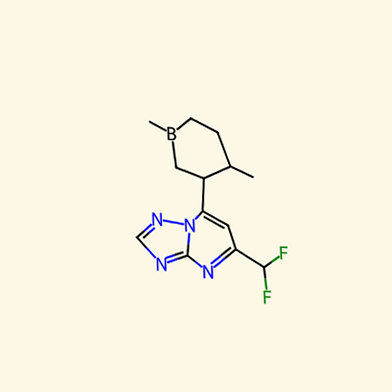 CB1CCC(C)C(c2cc(C(F)F)nc3ncnn23)C1